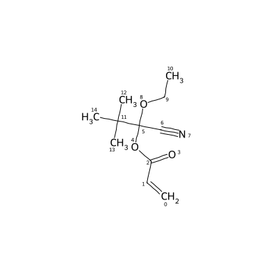 C=CC(=O)OC(C#N)(OCC)C(C)(C)C